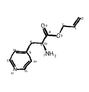 C=CCOC(=O)[C@@H](N)Cc1ccncc1